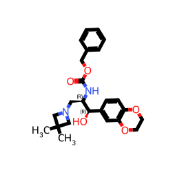 CC1(C)CN(C[C@@H](NC(=O)OCc2ccccc2)[C@H](O)c2ccc3c(c2)OCCO3)C1